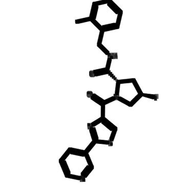 Cc1ccccc1CNC(=O)[C@@H]1C[C@@H](F)CN1C(=O)c1csc(-c2cccnc2)n1